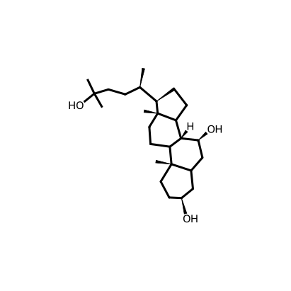 C[C@H](CCC(C)(C)O)[C@H]1CCC2[C@H]3C(CC[C@@]21C)[C@@]1(C)CC[C@H](O)CC1C[C@@H]3O